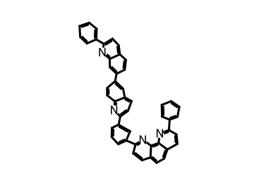 c1ccc(-c2ccc3ccc(-c4ccc5nc(-c6cccc(-c7ccc8ccc9ccc(-c%10ccccc%10)nc9c8n7)c6)ccc5c4)cc3n2)cc1